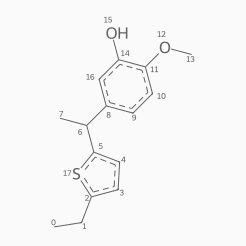 CCc1ccc(C(C)c2ccc(OC)c(O)c2)s1